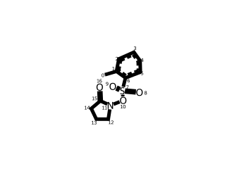 Cc1ccccc1S(=O)(=O)ON1CCCC1=O